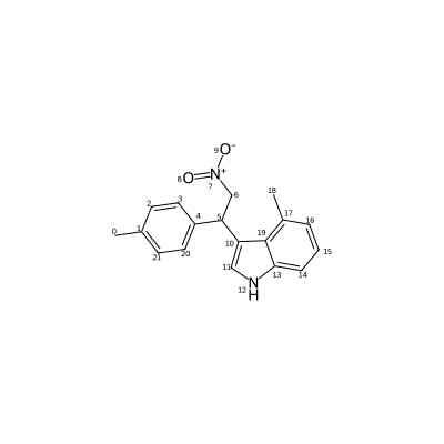 Cc1ccc(C(C[N+](=O)[O-])c2c[nH]c3cccc(C)c23)cc1